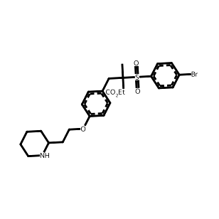 CCOC(=O)C(C)(Cc1ccc(OCCC2CCCCN2)cc1)S(=O)(=O)c1ccc(Br)cc1